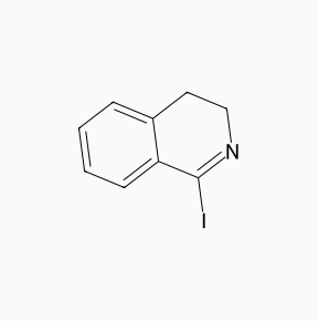 IC1=NCCc2ccccc21